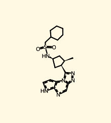 C[C@@H]1C[C@H](NS(=O)(=O)CC2CCCCC2)C[C@@H]1c1nnc2cnc3[nH]ccc3n12